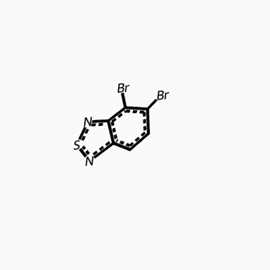 Brc1ccc2nsnc2c1Br